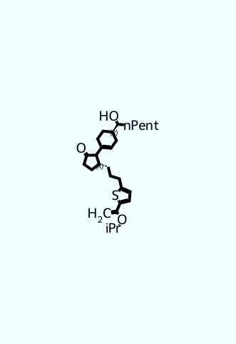 C=C(OC(C)C)c1ccc(CCC[C@@H]2CCC(=O)C2C2=CC[C@H](C(O)CCCCC)CC2)s1